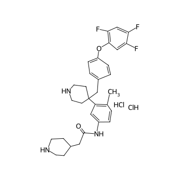 Cc1ccc(NC(=O)CC2CCNCC2)cc1C1(Cc2ccc(Oc3cc(F)c(F)cc3F)cc2)CCNCC1.Cl.Cl